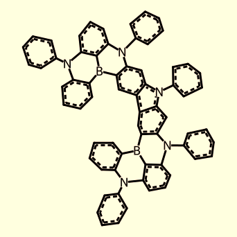 c1ccc(N2c3ccccc3B3c4cc5c6cc7c(cc6n(-c6ccccc6)c5cc4N(c4ccccc4)c4cccc2c43)N(c2ccccc2)c2cccc3c2B7c2ccccc2N3c2ccccc2)cc1